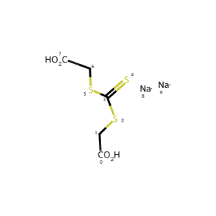 O=C(O)CSC(=S)SCC(=O)O.[Na].[Na]